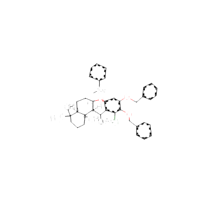 CC(=O)OC1c2c(cc(OCc3ccccc3)c(OCc3ccccc3)c2Cl)O[C@]2(C[Se]c3ccccc3)CC[C@H]3C(C)(C)CCC[C@]3(C)[C@@H]12